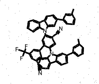 Cc1cccc(-c2ccc3c4ccccc4n(-c4cc(-c5cc(C#N)cc(C(F)(F)F)c5)c(-n5c6ccccc6c6ccc(-c7cccc(C)c7)cc65)cc4C#N)c3c2)c1